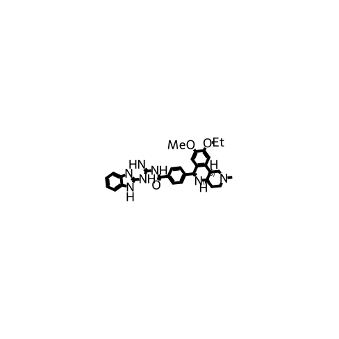 CCOc1cc2c(cc1OC)C(c1ccc(C(=O)NC(=N)Nc3nc4ccccc4[nH]3)cc1)=N[C@@H]1CCN(C)C[C@H]21